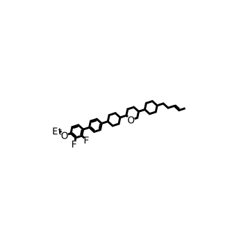 C/C=C/CCC1CCC(C2CCC(C3CCC(c4ccc(-c5ccc(OCC)c(F)c5F)cc4)CC3)OC2)CC1